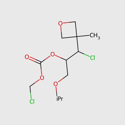 CC(C)OCC(OC(=O)OCCl)C(Cl)C1(C)COC1